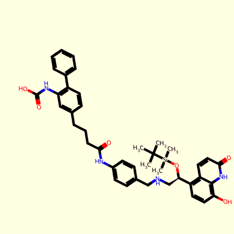 CC(C)(C)[Si](C)(C)O[C@H](CNCc1ccc(NC(=O)CCCc2ccc(-c3ccccc3)c(NC(=O)O)c2)cc1)c1ccc(O)c2[nH]c(=O)ccc12